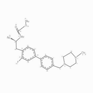 CN1CCN(Cc2ccc(-c3ccc(C[C@@H](C#N)NC(=O)OC(C)(C)C)c(F)c3)cc2)CC1